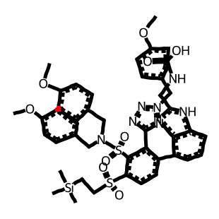 COc1ccc(CN(Cc2ccc(OC)cc2)S(=O)(=O)c2c(S(=O)(=O)CC[Si](C)(C)C)ccc(-c3cccc4[nH]c(CNC(=O)O)nc34)c2-c2nnn(Cc3ccc(OC)cc3)n2)cc1